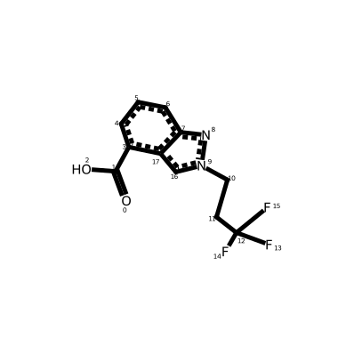 O=C(O)c1cccc2nn(CCC(F)(F)F)cc12